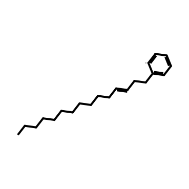 CCCCCCCCCCCC=CCCc1[c]cccc1